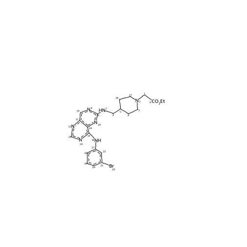 CCOC(=O)CN1CCC(CNc2ncc3ncnc(Nc4cccc(Br)c4)c3n2)CC1